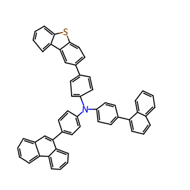 c1ccc2c(-c3ccc(N(c4ccc(-c5ccc6sc7ccccc7c6c5)cc4)c4ccc(-c5cc6ccccc6c6ccccc56)cc4)cc3)cccc2c1